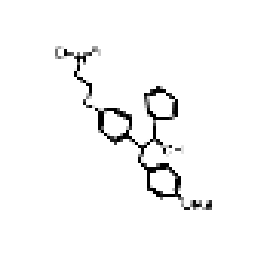 CCN(CC)CCOc1ccc(C(Cc2ccc(OC)cc2)C(O)c2ccccc2)cc1